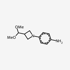 COC(OC)C1CN(c2ccc(N)cc2)C1